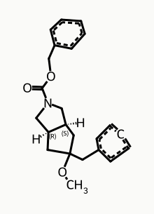 COC1(Cc2ccccc2)C[C@H]2CN(C(=O)OCc3ccccc3)C[C@H]2C1